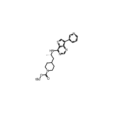 C[C@@H](CC1CCN(C(=O)OC(C)(C)C)CC1)Nc1ncnc2c(-c3cccnc3)csc12